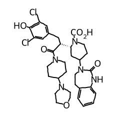 O=C(C(Cc1cc(Cl)c(O)c(Cl)c1)[C@H]1CC(N2CCc3ccccc3NC2=O)CCN1C(=O)O)N1CCC(N2CCOCC2)CC1